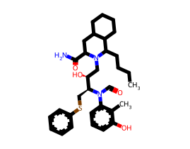 CCCCC1C2CCCCC2CC(C(N)=O)N1C[C@@H](O)[C@H](CSc1ccccc1)N(C=O)c1cccc(O)c1C